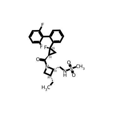 CC[C@@H]1CN(C(=O)[C@@H]2C[C@@]2(F)c2ccccc2-c2c(F)cccc2F)[C@@H]1CNS(C)(=O)=O